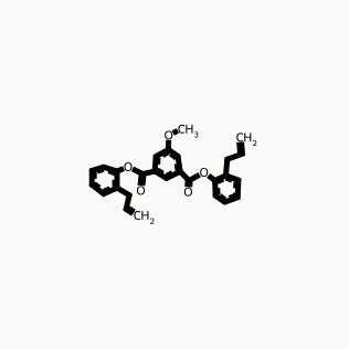 C=CCc1ccccc1OC(=O)c1cc(OC)cc(C(=O)Oc2ccccc2CC=C)c1